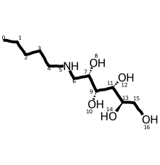 CCCCCNC[C@H](O)[C@@H](O)[C@H](O)[C@H](O)CO